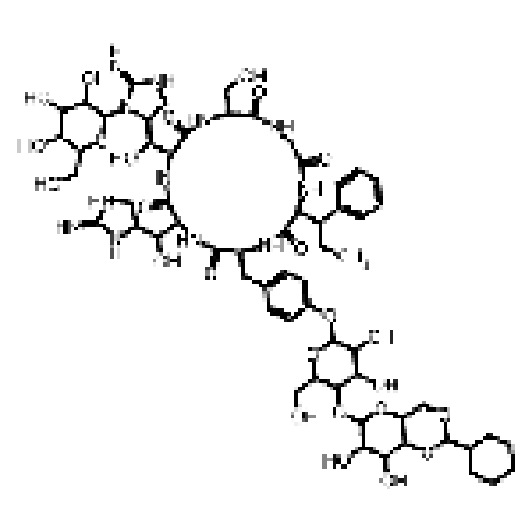 CCC(c1ccccc1)C1NC(=O)CNC(=O)C(CO)NC(=O)C(C(O)C2CNC(=N)N2C2OC(CO)C(O)C(O)C2O)NC(=O)C(C(O)C2CNC(=N)N2)NC(=O)C(Cc2ccc(OC3OC(CO)C(OC4OC5COC(C6CCCCC6)OC5C(O)C4O)C(O)C3O)cc2)NC1=O